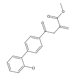 C=C(CC(=O)c1ccc(-c2ccccc2Cl)cc1)C(=O)OC